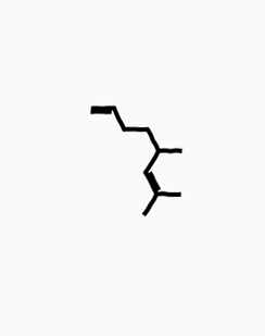 C=CCCC(C)C=C(C)C